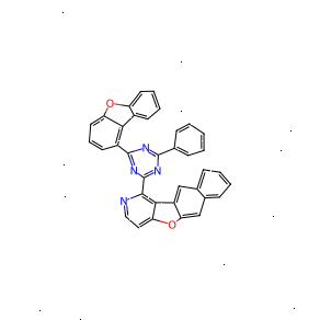 c1ccc(-c2nc(-c3cccc4oc5ccccc5c34)nc(-c3nccc4oc5cc6ccccc6cc5c34)n2)cc1